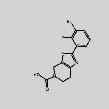 Cc1c(Br)cccc1-c1nc2c(s1)CN(C(=O)O)CC2